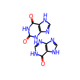 O=c1[nH]c(=O)c2[nH]cnc2[nH]1.O=c1[nH]cnc2nc[nH]c12